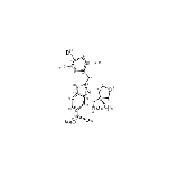 COC[C@@]1(C)COC[C@H]1n1c(Cc2cc(F)c(Br)cc2F)nc2ccc(C(=O)OC)cc21